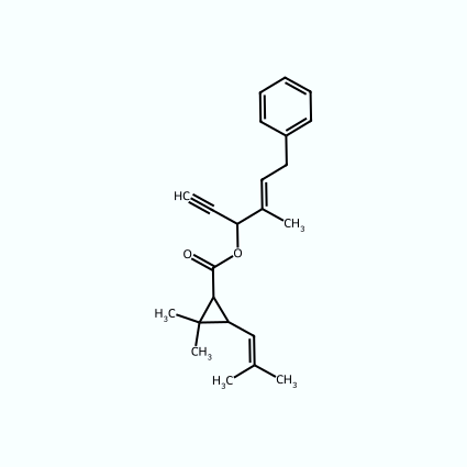 C#CC(OC(=O)C1C(C=C(C)C)C1(C)C)/C(C)=C/Cc1ccccc1